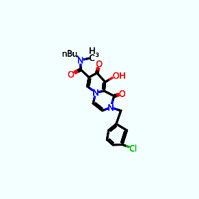 CCCCN(C)C(=O)c1cn2ccn(Cc3cccc(Cl)c3)c(=O)c2c(O)c1=O